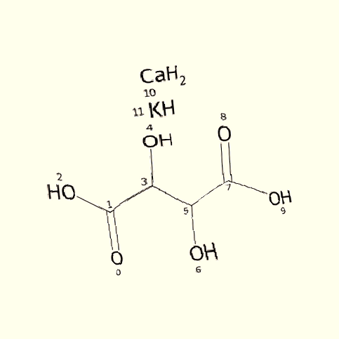 O=C(O)C(O)C(O)C(=O)O.[CaH2].[KH]